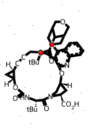 CC(C)(C)OC(=O)N1CC2COCC(C1)C2Oc1c2c(nc3ccccc13)O[C@@H]1C[C@@H](C(=O)O)N(C1)C(=O)[C@H](C(C)(C)C)NC(=O)O[C@@H]1C[C@H]1CCCCC2